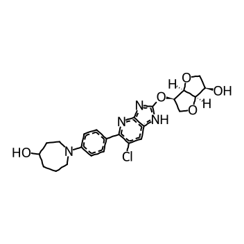 OC1CCCN(c2ccc(-c3nc4nc(O[C@@H]5CO[C@H]6[C@@H]5OC[C@H]6O)[nH]c4cc3Cl)cc2)CC1